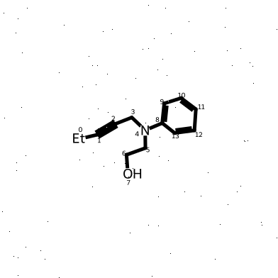 CCC#CCN(CCO)c1ccccc1